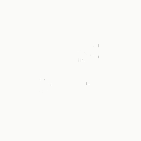 CCC(NS(=O)(=O)CC)c1cncc(-c2ccc3c(c2)CCC(=O)N3C)c1